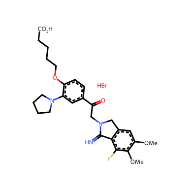 Br.COc1cc2c(c(F)c1OC)C(=N)N(CC(=O)c1ccc(OCCCCC(=O)O)c(N3CCCC3)c1)C2